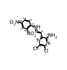 Nc1nc(Cl)c(Cl)nc1C=NNc1ccc([N+](=O)[O-])cc1[N+](=O)[O-]